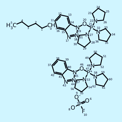 CCCCCC.O=P([O-])([O-])F.c1ccc2c(c1)nnn2O[P+](N1CCCC1)(N1CCCC1)N1CCCC1.c1ccc2c(c1)nnn2O[P+](N1CCCC1)(N1CCCC1)N1CCCC1